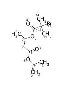 C=C(C)OC(=O)CC(C)OC(=O)C(C)(C)Br